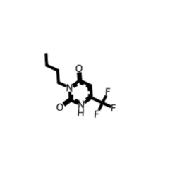 CCCCn1c(=O)cc(C(F)(F)F)[nH]c1=O